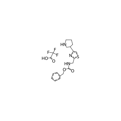 O=C(NCc1nc(C2CCCNC2)cs1)OCc1ccccc1.O=C(O)C(F)(F)F